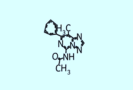 CC(=O)Nc1nc(-c2ccccc2)c(C)c2ncnn12